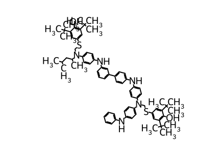 CC(C)CC(C)N(CSc1cc(C(C)(C)C)c(O)c(C(C)(C)C)c1)c1ccc(Nc2cccc(-c3ccc(Nc4ccc(N(CSc5cc(C(C)(C)C)c(O)c(C(C)(C)C)c5)c5ccc(Nc6ccccc6)cc5)cc4)cc3)c2)cc1